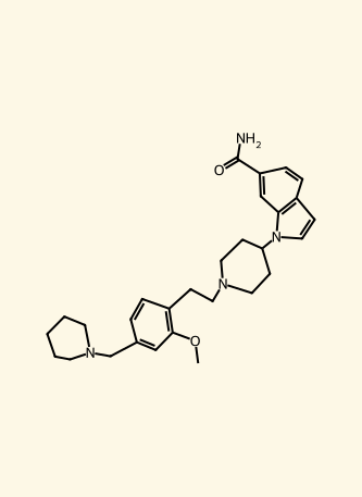 COc1cc(CN2CCCCC2)ccc1CCN1CCC(n2ccc3ccc(C(N)=O)cc32)CC1